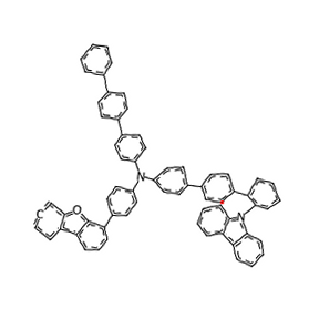 c1ccc(-c2ccc(-c3ccc(N(c4ccc(-c5ccc(-c6ccccc6-n6c7ccccc7c7ccccc76)cc5)cc4)c4ccc(-c5cccc6c5oc5ccccc56)cc4)cc3)cc2)cc1